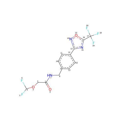 O=C(COC(F)F)NCc1ccc(-c2noc(C(F)(F)F)n2)cc1